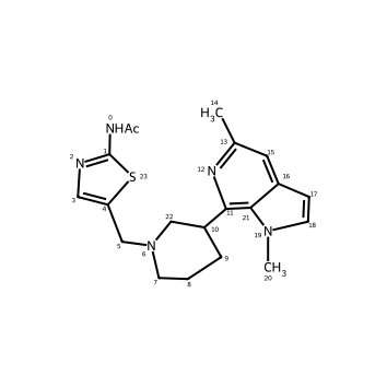 CC(=O)Nc1ncc(CN2CCCC(c3nc(C)cc4ccn(C)c34)C2)s1